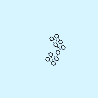 c1ccc(N(c2ccc(-c3cccc4c3-c3ccccc3C43c4ccccc4-c4ccccc43)cc2)c2ccc3c(c2)C2(c4ccccc4-c4ccccc42)c2ccccc2-3)cc1